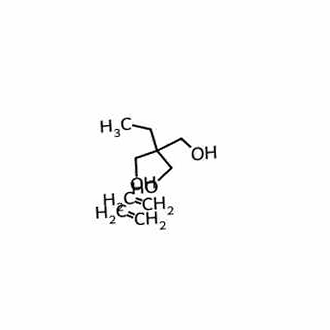 C=C.C=C.CCC(CO)(CO)CO